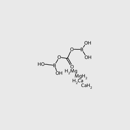 O=C(OB(O)O)OB(O)O.[CaH2].[CaH2].[MgH2].[MgH2]